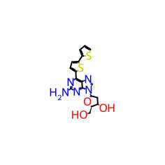 Nc1nc(-c2ccc(-c3cccs3)s2)c2ncn([C@H]3C[C@@H](O)[C@@H](CO)O3)c2n1